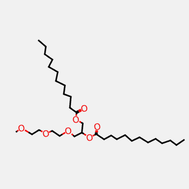 CCCCCCCCCCCCC(=O)OC(COCCOCCOC)COC(=O)CCCCCCCCCCC